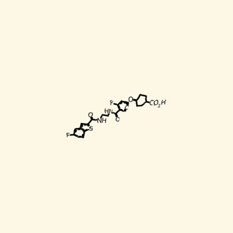 O=C(NCCNC(=O)c1ccc(OC2CCC(C(=O)O)CC2)cc1F)c1cc2cc(F)ccc2s1